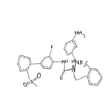 CS(=O)(=O)c1ccccc1-c1ccc(NC(=O)N(Cc2ccccc2C(F)(F)F)Nc2cccc(N)c2)c(F)c1